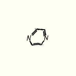 [c]1cn[c]cn1